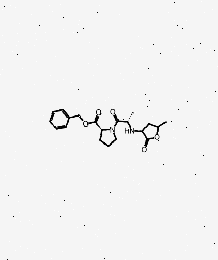 CC1CC(N[C@@H](C)C(=O)N2CCC[C@H]2C(=O)OCc2ccccc2)C(=O)O1